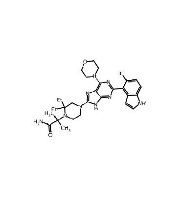 CCC1(CC)CN(c2nc3c(N4CCOCC4)nc(-c4c(F)ccc5[nH]ccc45)nc3[nH]2)CCN1C(C)(C)C(N)=O